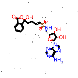 Nc1ncnc2c1ncn2[C@@H]1O[C@H](CNS(=O)(=O)/C=C/CCC2(O)OC(=O)c3ccccc32)[C@@H](O)[C@H]1O